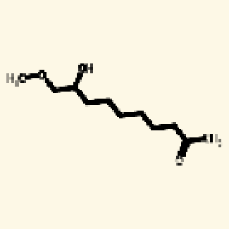 COCC(O)CCCCCCC(C)=O